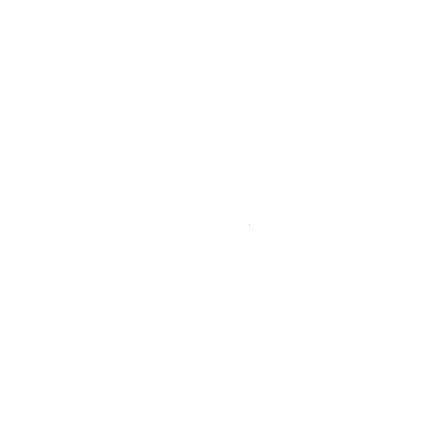 c1ccc(CN2CC3C(C2)C(c2ccccc2)C3c2ccccc2)cc1